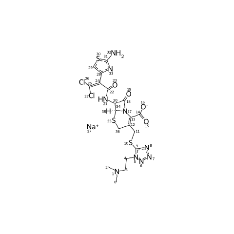 CN(C)CCn1nnnc1SCC1=C(C(=O)[O-])N2C(=O)C(NC(=O)C(=C(Cl)Cl)c3csc(N)n3)[C@@H]2SC1.[Na+]